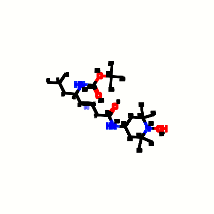 CC(C)CC(/C=C/CC(=O)NC1CC(C)(C)N(O)C(C)(C)C1)NC(=O)OC(C)(C)C